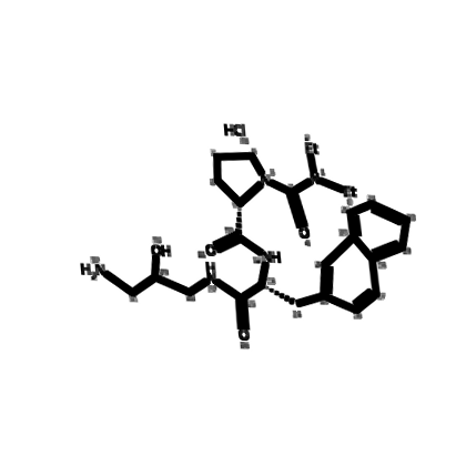 CCN(CC)C(=O)N1CCC[C@H]1C(=O)N[C@H](Cc1ccc2ccccc2c1)C(=O)NCC(O)CN.Cl